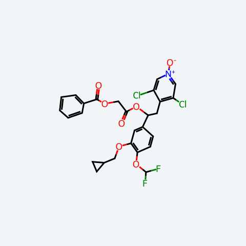 O=C(COC(=O)c1ccccc1)OC(Cc1c(Cl)c[n+]([O-])cc1Cl)c1ccc(OC(F)F)c(OCC2CC2)c1